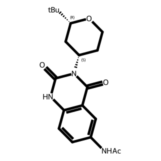 CC(=O)Nc1ccc2[nH]c(=O)n([C@H]3CCO[C@@H](C(C)(C)C)C3)c(=O)c2c1